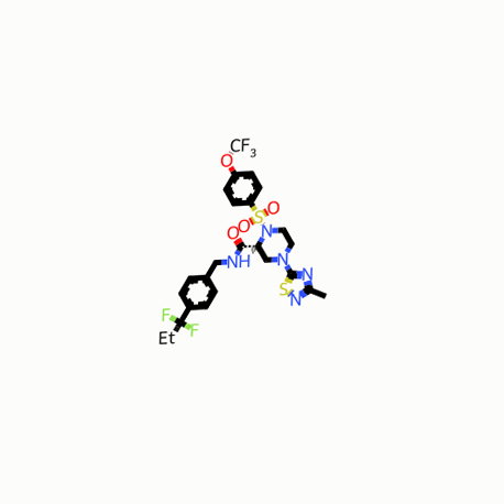 CCC(F)(F)c1ccc(CNC(=O)[C@H]2CN(c3nc(C)ns3)CCN2S(=O)(=O)c2ccc(OC(F)(F)F)cc2)cc1